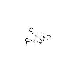 CC[C@H]1CCCCN1C(=O)C[C@H](NC(=O)OCc1ccccc1)C(=O)N[C@@H](C)C1Nc2cccc(F)c2N1